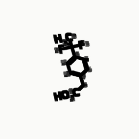 CC(F)(F)c1ccc(CC(=O)O)cc1